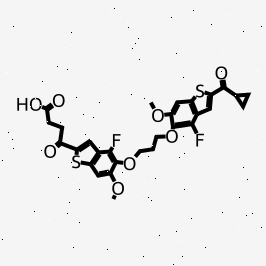 COc1cc2sc(C(=O)CCC(=O)O)cc2c(F)c1OCCCOc1c(OC)cc2sc(C(=O)C3CC3)cc2c1F